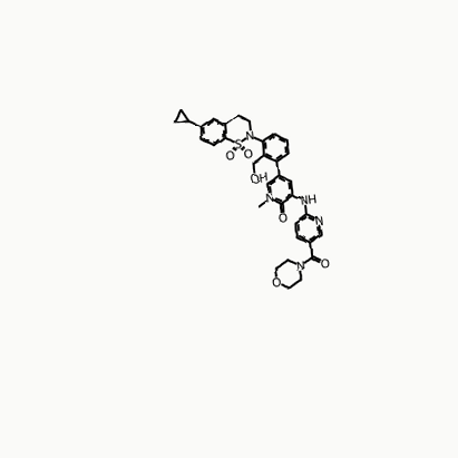 Cn1cc(-c2cccc(N3CCc4cc(C5CC5)ccc4S3(=O)=O)c2CO)cc(Nc2ccc(C(=O)N3CCOCC3)cn2)c1=O